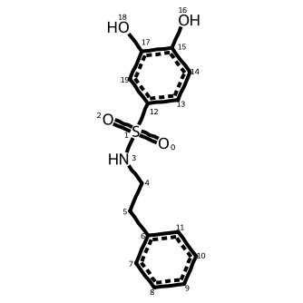 O=S(=O)(NCCc1ccccc1)c1ccc(O)c(O)c1